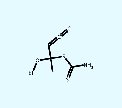 CCOC(C)(C=C=O)SC(N)=S